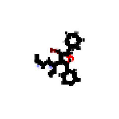 C=C/C(=C\C=C/C)c1c(C2=CCCC=C2)oc(-c2ccccc2)c1Br